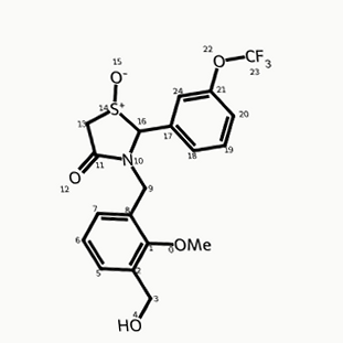 COc1c(CO)cccc1CN1C(=O)C[S+]([O-])C1c1cccc(OC(F)(F)F)c1